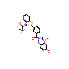 COc1ccc(CNC(=O)c2cccc(CSc3ccccc3NC(=O)C(C)(C)C)c2)c(OC)c1